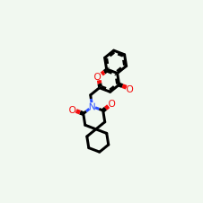 O=C1CC2(CCCCC2)CC(=O)N1Cc1cc(=O)c2ccccc2o1